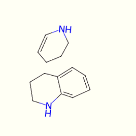 C1=CNCCC1.c1ccc2c(c1)CCCN2